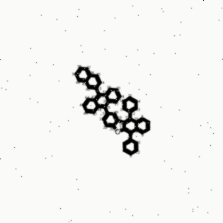 c1ccc(-c2c3ccccc3c(-c3ccccc3)c3c2oc2ccc(-c4c5ccccc5c(-c5ccc6ccccc6c5)c5ccccc45)cc23)cc1